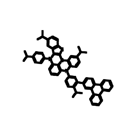 CC(C)c1ccc(N2c3cccc4c3B(c3cc(C(C)C)ccc3N4c3ccc(C(C)C)c(-c4ccc5c6ccccc6c6ccccc6c5c4)c3)c3sc4ccc(C(C)C)cc4c32)cc1